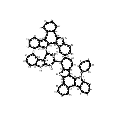 c1ccc(-n2c3ccccc3c3c4ccccc4c4sc5c(-c6nc(-n7c8ccccc8c8c9ccccc9c9sc%10ccccc%10c9c87)c7c(n6)sc6ccccc67)cccc5c4c32)cc1